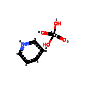 [O]=[Cr](=[O])([OH])[OH].c1ccncc1